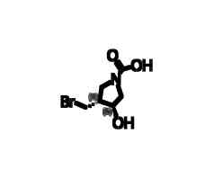 O=C(O)N1C[C@@H](CBr)[C@H](O)C1